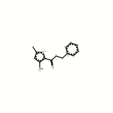 Cc1cc(O)c(C(=O)CCc2ccccc2)s1